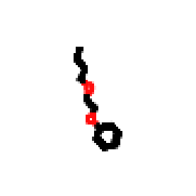 CCC[CH]OCCOc1ccccc1